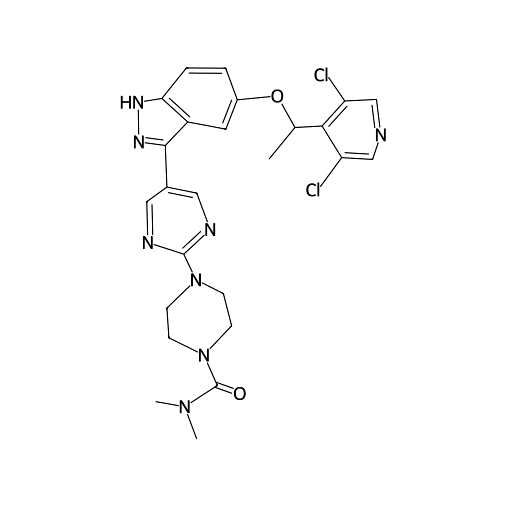 CC(Oc1ccc2[nH]nc(-c3cnc(N4CCN(C(=O)N(C)C)CC4)nc3)c2c1)c1c(Cl)cncc1Cl